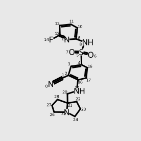 N#Cc1cc(S(=O)(=O)Nc2cccc(F)n2)ccc1NCC12CCCN1CCC2